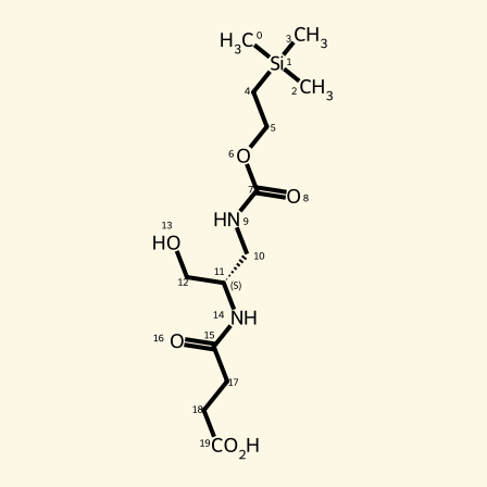 C[Si](C)(C)CCOC(=O)NC[C@@H](CO)NC(=O)CCC(=O)O